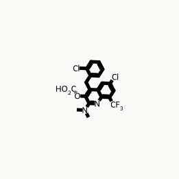 CN(C)c1nc2c(C(F)(F)F)cc(Cl)cc2c(Cc2ccccc2Cl)c1OC(=O)O